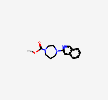 CC(C)(C)OC(=O)N1CCCN(c2cc3ccccc3cn2)CC1